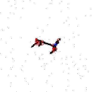 CCCCCCCC1OC(CC)CC(CC2CC(CC(C)O)OC(CCCCCCCCCCOc3ccc(OC(C)C(=O)OCCCC)cc3/N=N/c3ccc(OCC)cc3)O2)O1